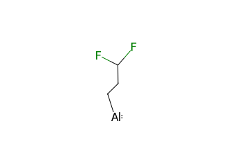 FC(F)C[CH2][Al]